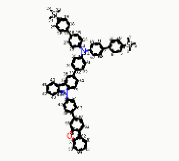 C[Si](C)(C)c1ccc(-c2ccc(N(c3ccc(-c4ccc([Si](C)(C)C)cc4)cc3)c3ccc(-c4ccc5c(c4)c4ccccc4n5-c4ccc(-c5ccc6c(c5)oc5ccccc56)cc4)cc3)cc2)cc1